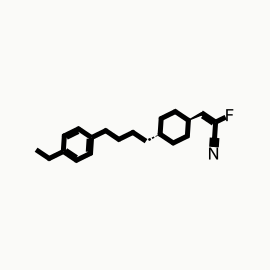 CCc1ccc(CCCC[C@H]2CC[C@H](/C=C(/F)C#N)CC2)cc1